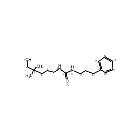 CC(C)(CO)CCCNC(=O)NCCCc1ccccc1